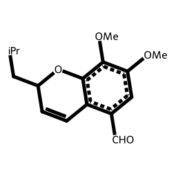 COc1cc(C=O)c2c(c1OC)OC(CC(C)C)C=C2